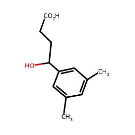 Cc1cc(C)cc(C(O)CCC(=O)O)c1